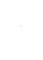 COc1cc(NCCCN2CCN3CCCCC3C2)cc(OC)c1OC.Cl.Cl.Cl